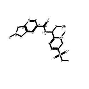 CCS(=O)(=O)C1=CC=C(C(CO)NC(=O)c2cnc3c(c2)CN(C)C3)N(C)C1